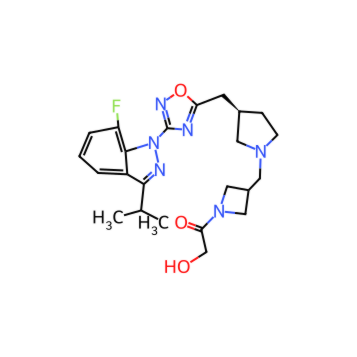 CC(C)c1nn(-c2noc(C[C@H]3CCN(CC4CN(C(=O)CO)C4)C3)n2)c2c(F)cccc12